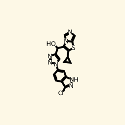 OC(c1cn(-c2ccc3c(Cl)n[nH]c3c2)nn1)c1c(C2CC2)sc2cncn12